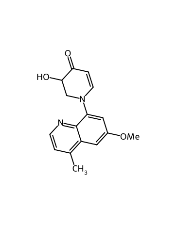 COc1cc(N2C=CC(=O)C(O)C2)c2nccc(C)c2c1